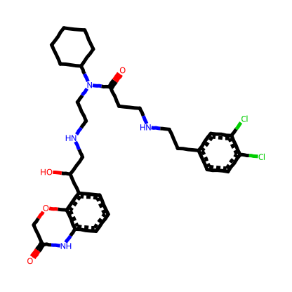 O=C1COc2c(cccc2C(O)CNCCN(C(=O)CCNCCc2ccc(Cl)c(Cl)c2)C2CCCCC2)N1